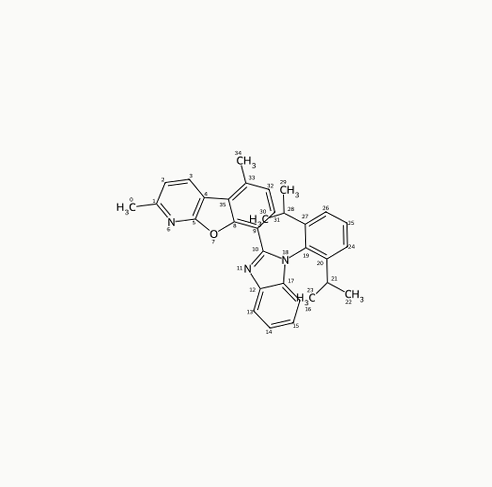 Cc1ccc2c(n1)oc1c(-c3nc4ccccc4n3-c3c(C(C)C)cccc3C(C)C)ccc(C)c12